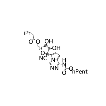 CCCCCOC(=O)Nc1nncn2c([C@]3(C#N)O[C@H](COC(=O)CC(C)C)[C@@H](O)[C@H]3O)ccc12